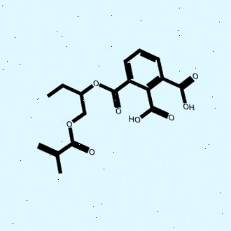 C=C(C)C(=O)OCC(CC)OC(=O)c1cccc(C(=O)O)c1C(=O)O